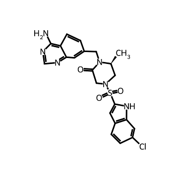 C[C@H]1CN(S(=O)(=O)c2cc3ccc(Cl)cc3[nH]2)CC(=O)N1Cc1ccc2c(N)ncnc2c1